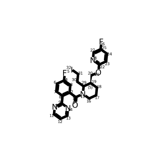 O=C(c1cc(F)ccc1-c1ncccn1)N1CCC[C@H](COc2ccc(F)cn2)C1CCI